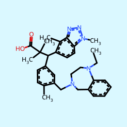 CCN1CCN(Cc2cc(C(c3ccc4c(nnn4C)c3C)C(C)(C)C(=O)O)ccc2C)Cc2ccccc21